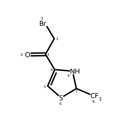 O=C(CBr)C1=CSC(C(F)(F)F)N1